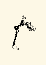 CCCCCCCCCCCCOc1cccc(CCC(COP(O)OCCN(C)C)OC(=O)CC)c1